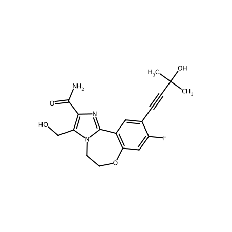 CC(C)(O)C#Cc1cc2c(cc1F)OCCn1c-2nc(C(N)=O)c1CO